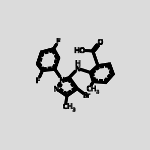 Cc1cccc(C(=O)O)c1Nc1c(Br)c(C)nn1-c1cc(F)ccc1F